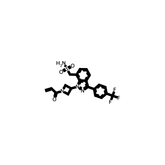 C=CC(=O)N1CC(n2nc(-c3ccc(C(F)(F)F)cc3)c3cccc(CS(N)(=O)=O)c32)C1